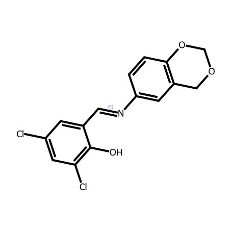 Oc1c(Cl)cc(Cl)cc1/C=N/c1ccc2c(c1)COCO2